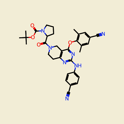 Cc1cc(C#N)cc(C)c1Oc1nc(Nc2ccc(C#N)cc2)nc2c1CN(C(=O)C1CCCN1C(=O)OC(C)(C)C)CC2